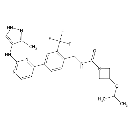 Cc1n[nH]cc1Nc1nccc(-c2ccc(CNC(=O)N3CC(OC(C)C)C3)c(C(F)(F)F)c2)n1